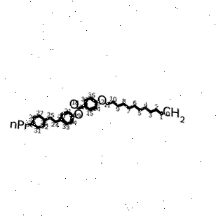 C=CCCCCCCCCCCOc1ccc(C(=O)Oc2ccc(CCC3CCC(CCC)CC3)cc2)cc1